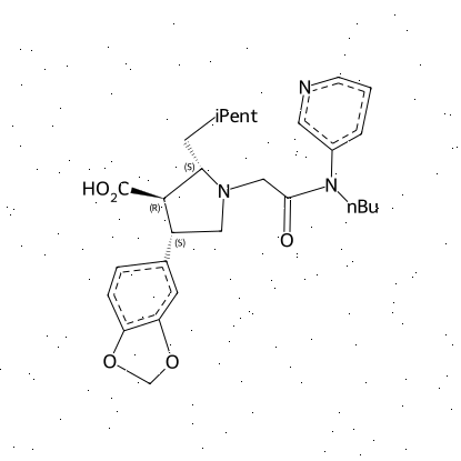 CCCCN(C(=O)CN1C[C@H](c2ccc3c(c2)OCO3)[C@@H](C(=O)O)[C@@H]1CC(C)CCC)c1cccnc1